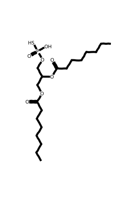 CCCCCCCC(=O)OCC(COP(=O)(O)S)OC(=O)CCCCCCC